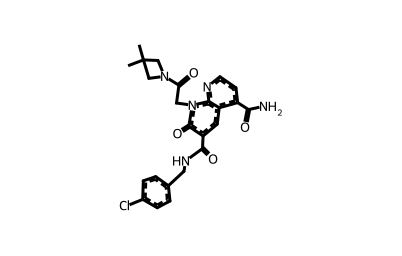 CC1(C)CN(C(=O)Cn2c(=O)c(C(=O)NCc3ccc(Cl)cc3)cc3c(C(N)=O)ccnc32)C1